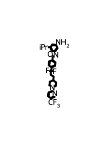 CC(C)c1cc(N)cc2nc(-c3ccc(C(F)(F)CCC4CCN(c5ccc(C(F)(F)F)cn5)CC4)cc3)oc12